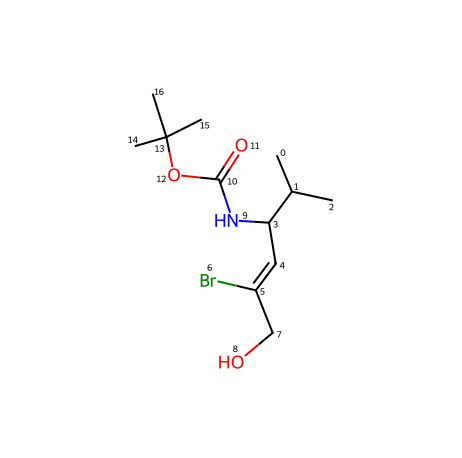 CC(C)C(/C=C(\Br)CO)NC(=O)OC(C)(C)C